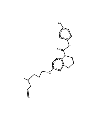 C=CCN(C)CCCOc1ccc2c(c1)CCCN2C(=O)Oc1ccc(Cl)cc1